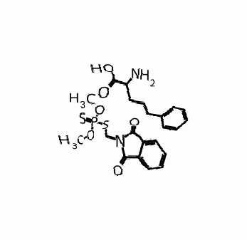 COP(=S)(OC)SCN1C(=O)c2ccccc2C1=O.NC(CCCc1ccccc1)C(=O)O